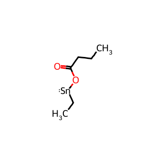 CCCC(=O)[O][Sn][CH2]C